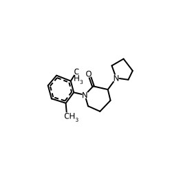 Cc1cccc(C)c1N1CCCC(N2CCCC2)C1=O